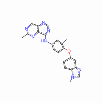 Cc1ncc2ncnc(Nc3ccc(Oc4ccc5c(c4)ncn5C)c(C)c3)c2n1